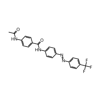 CC(=O)Nc1ccc(C(=O)Nc2ccc(N=Nc3ccc(C(F)(F)F)cc3)cc2)cc1